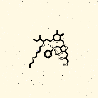 C=CCOC/C=C/COC(CCC1CC(C)C(=C)C(C[C@@H]2OC(CC(O)CO)[C@H](OC)C2CS(=O)(=O)c2ccccc2)O1)C(=C)CC